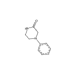 O=C1CN(c2cc[c]cc2)CCN1